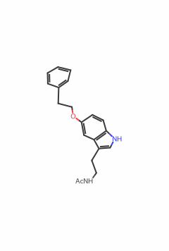 CC(=O)NCCc1c[nH]c2ccc(OCCc3ccccc3)cc12